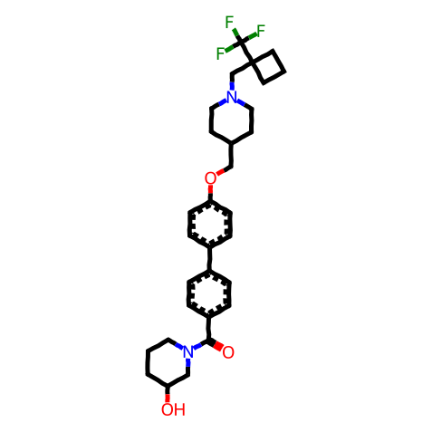 O=C(c1ccc(-c2ccc(OCC3CCN(CC4(C(F)(F)F)CCC4)CC3)cc2)cc1)N1CCCC(O)C1